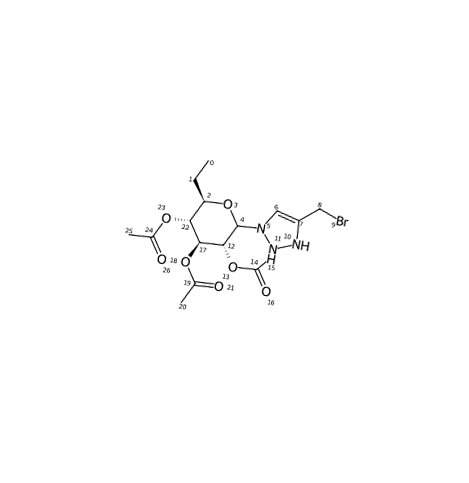 CC[C@H]1OC(N2C=C(CBr)NN2)[C@H](OC(C)=O)[C@@H](OC(C)=O)[C@@H]1OC(C)=O